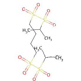 CC(C)S(=O)(=O)S(=O)(=O)CCCCS(=O)(=O)S(=O)(=O)C(C)C